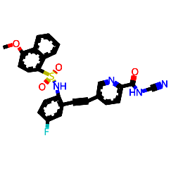 COc1ccc(S(=O)(=O)Nc2ccc(F)cc2C#Cc2ccc(C(=O)NC#N)nc2)c2ccccc12